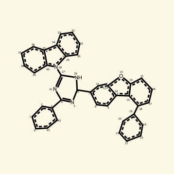 c1ccc(C2=NC(c3ccc4c(c3)oc3cccc(-c5ccccc5)c34)NC(n3c4ccccc4c4ccccc43)=N2)cc1